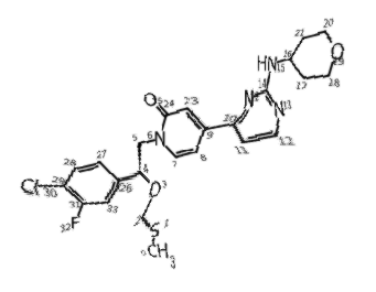 CSCO[C@H](Cn1ccc(-c2ccnc(NC3CCOCC3)n2)cc1=O)c1ccc(Cl)c(F)c1